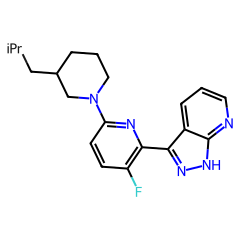 CC(C)CC1CCCN(c2ccc(F)c(-c3n[nH]c4ncccc34)n2)C1